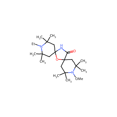 CCN1C(C)(C)CC2(CC1(C)C)NC(=O)C1(CC(C)(C)N(OC)C(C)(C)C1)O2